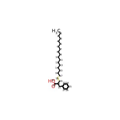 CCCCCCCCCCCCCCCCCCSCC(Cc1ccccc1)C(=O)O